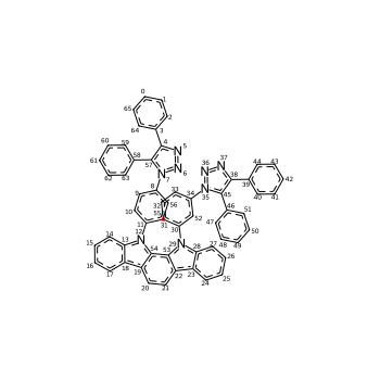 c1ccc(-c2nnn(-c3ccc(-n4c5ccccc5c5ccc6c7ccccc7n(-c7cccc(-n8nnc(-c9ccccc9)c8-c8ccccc8)c7)c6c54)cc3)c2-c2ccccc2)cc1